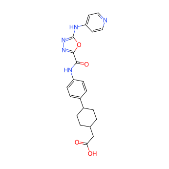 O=C(O)CC1CCC(c2ccc(NC(=O)c3nnc(Nc4ccncc4)o3)cc2)CC1